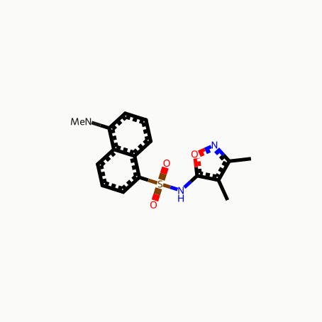 CNc1cccc2c(S(=O)(=O)Nc3onc(C)c3C)cccc12